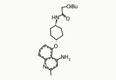 Cc1cc(N)c2c(O[C@H]3CC[C@H](NC(=O)COCC(C)C)CC3)cccc2n1